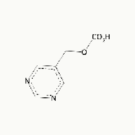 O=C(O)OCc1cncnc1